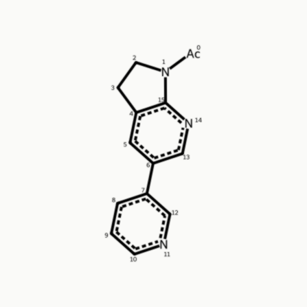 CC(=O)N1CCc2cc(-c3cccnc3)cnc21